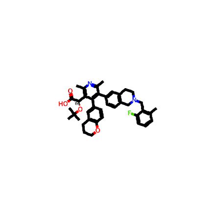 Cc1cccc(F)c1CN1CCc2cc(-c3c(C)nc(C)c([C@H](OC(C)(C)C)C(=O)O)c3-c3ccc4c(c3)CCCO4)ccc2C1